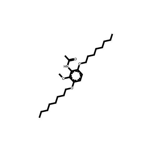 CCCCCCCCOc1ccc(OCCCCCCCC)c(OC)c1NC(C)=O